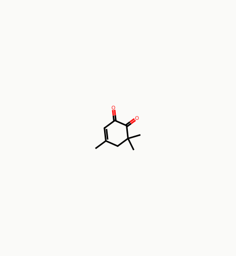 CC1=CC(=O)C(=O)C(C)(C)C1